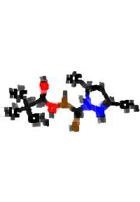 Cc1cc(C)n(C(=S)SOC(=O)C(C)(C)C)n1